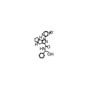 O=C(NC(CO)c1ccccc1)c1nn(-c2c[n+]([O-])ccn2)c2c1C[C@H]1CCC[C@@H]21